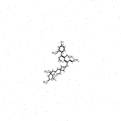 C/C=C/C(=C\C(CC)=C(/CC)c1ccc(F)cc1C)CN1CC(CC)(CCCC(C)(CC)CCC)C1